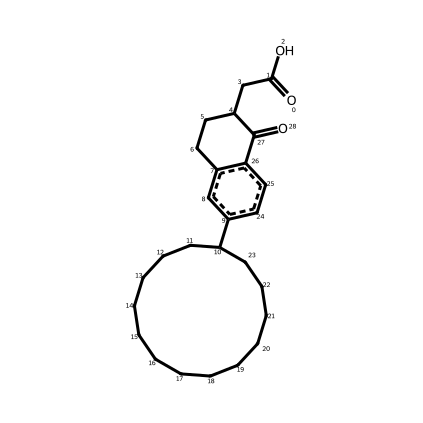 O=C(O)CC1CCc2cc(C3CCCCCCCCCCCCC3)ccc2C1=O